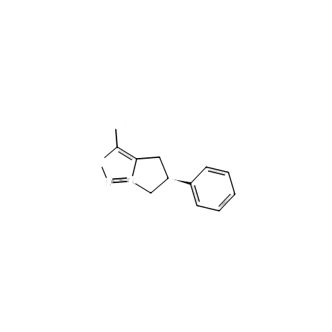 Oc1on[n+]2c1C[C@@H](c1ccccc1)C2